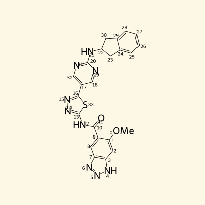 COc1cc2[nH]nnc2cc1C(=O)Nc1nnc(-c2cnc(NC3Cc4ccccc4C3)nc2)s1